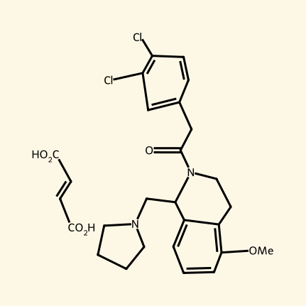 COc1cccc2c1CCN(C(=O)Cc1ccc(Cl)c(Cl)c1)C2CN1CCCC1.O=C(O)C=CC(=O)O